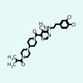 Cc1c(NCCc2ccc(Cl)c(Cl)c2)ncnc1C(=O)N1CCC(N2CCN(C(=O)C(C)C)CC2)CC1